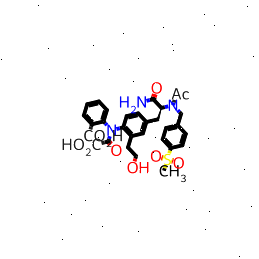 CC(=O)N(Cc1ccc(S(C)(=O)=O)cc1)[C@@H](Cc1ccc(N(C(=O)C(=O)O)c2ccccc2C(=O)O)c(CCO)c1)C(N)=O